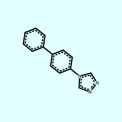 c1ccc(-c2ccc(-n3cnnc3)cc2)cc1